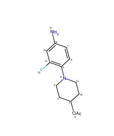 CC(=O)OC1CCN(c2ccc(N)cc2F)CC1